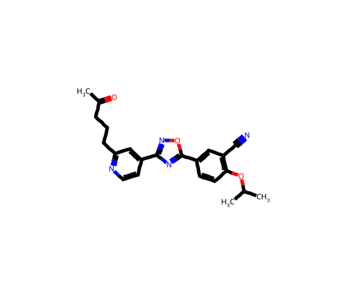 CC(=O)CCCc1cc(-c2noc(-c3ccc(OC(C)C)c(C#N)c3)n2)ccn1